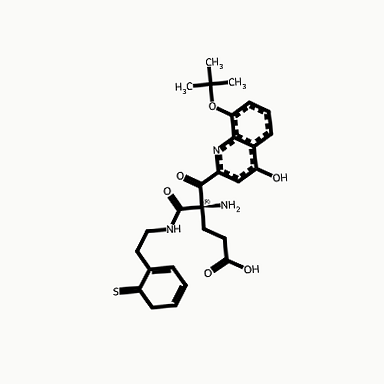 CC(C)(C)Oc1cccc2c(O)cc(C(=O)[C@](N)(CCC(=O)O)C(=O)NCCC3=CC=CCC3=S)nc12